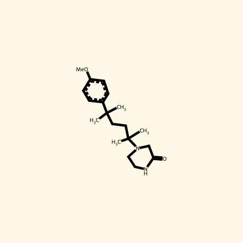 COc1ccc(C(C)(C)CCC(C)(C)N2CCNC(=O)C2)cc1